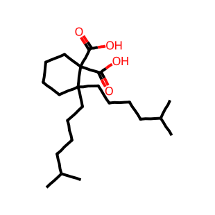 CC(C)CCCCC1(CCCCC(C)C)CCCCC1(C(=O)O)C(=O)O